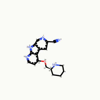 N#Cc1cc2c(cn1)[nH]c1nccc(OC[C@@H]3CCCCN3)c12